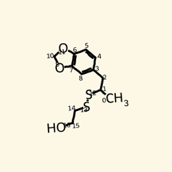 CC(Cc1ccc2c(c1)OCO2)SSCCO